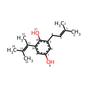 CC(C)=CCc1cc(O)cc(C(C)=C(C)C)c1O